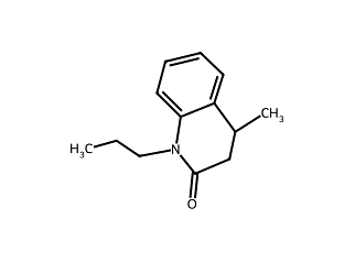 CCCN1C(=O)CC(C)c2ccccc21